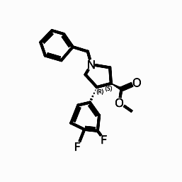 COC(=O)[C@@H]1CN(Cc2ccccc2)C[C@H]1c1ccc(F)c(F)c1